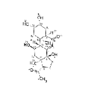 CC(=O)[C@H]1CC[C@@]2(O)C3=CC(=O)[C@@H]4C[C@@H](O)[C@@H](O)C[C@]4(C)[C@H]3[C@H](O)C[C@]12C